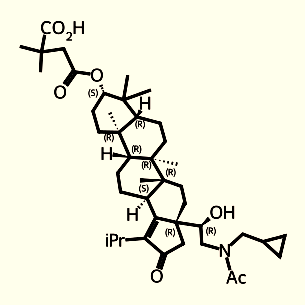 CC(=O)N(CC1CC1)C[C@H](O)[C@@]12CC[C@]3(C)[C@H](CC[C@@H]4[C@@]5(C)CC[C@H](OC(=O)CC(C)(C)C(=O)O)C(C)(C)[C@@H]5CC[C@]43C)C1=C(C(C)C)C(=O)C2